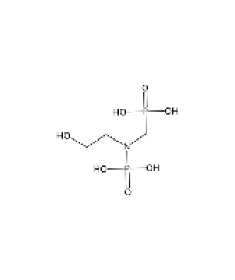 O=P(O)(O)CN(CCO)P(=O)(O)O